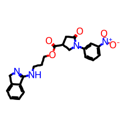 O=C(OCCCNC1=NCc2ccccc21)C1CC(=O)N(c2cccc([N+](=O)[O-])c2)C1